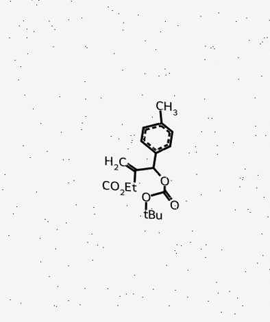 C=C(C(=O)OCC)C(OC(=O)OC(C)(C)C)c1ccc(C)cc1